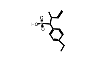 C=CC(C)C(c1ccc(CC)cc1)S(=O)(=O)O